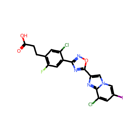 O=C(O)CCc1cc(Cl)c(-c2noc(-c3cn4cc(I)cc(Cl)c4n3)n2)cc1F